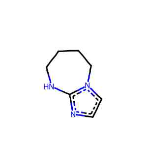 c1cn2c(n1)NCCCC2